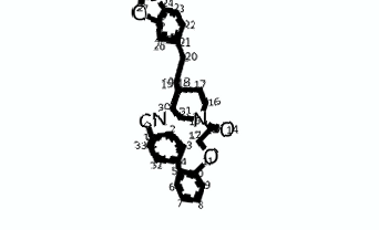 N#Cc1ccc(-c2ccccc2OCC(=O)N2CCC(CCc3ccc4c(c3)OCO4)CC2)cc1